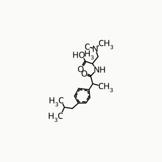 CC(C)Cc1ccc(C(C)C(=O)NC(CN(C)C)C(=O)O)cc1